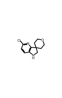 Clc1ccc2c(n1)C1(CCOCC1)CN2